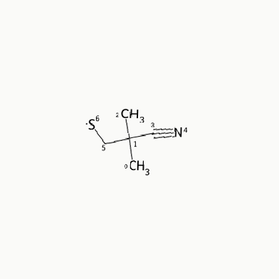 CC(C)(C#N)C[S]